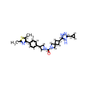 Cc1nc(-c2ccc(C3CN(C(=O)N4CC5(CC(c6nnc(C7CC7)[nH]6)C5)C4)C3)cc2)c(C)s1